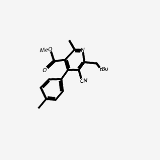 COC(=O)c1c(C)nc(CC(C)(C)C)c(C#N)c1-c1ccc(C)cc1